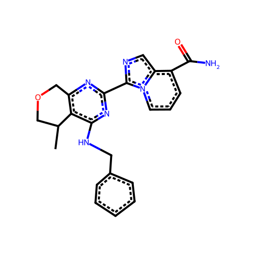 CC1COCc2nc(-c3ncc4c(C(N)=O)cccn34)nc(NCc3ccccc3)c21